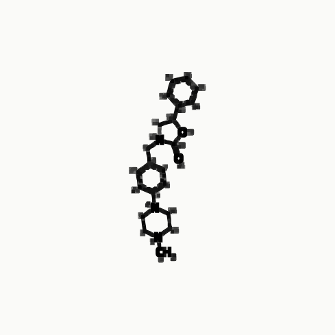 CN1CCN(c2ccc(CN3CC(c4ccccc4)OC3=O)cc2)CC1